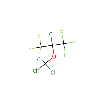 FC(F)(F)C(Cl)(OC(Cl)(Cl)Cl)C(F)(F)F